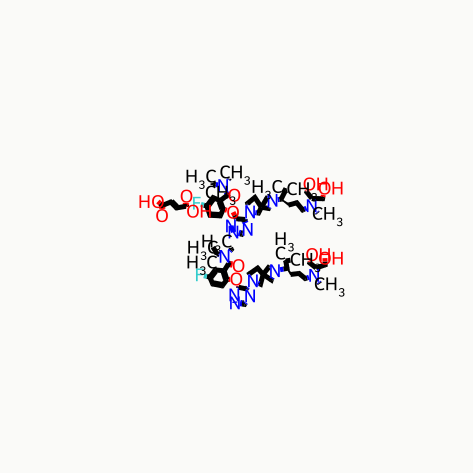 CCN(C(=O)c1cc(F)ccc1Oc1nncnc1N1CCC2(C1)CN([C@H](CCCN(C)C(CO)CO)C(C)C)C2)C(C)C.CCN(C(=O)c1cc(F)ccc1Oc1nncnc1N1CCC2(C1)CN([C@H](CCCN(C)C(CO)CO)C(C)C)C2)C(C)C.O=C(O)/C=C/C(=O)O